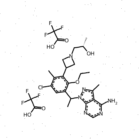 CCOc1c(C(C)n2nc(C)c3c(N)ncnc32)cc(Cl)c(C)c1C1CN(C[C@H](C)O)C1.O=C(O)C(F)(F)F.O=C(O)C(F)(F)F